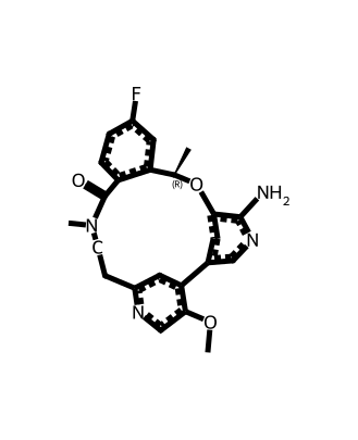 COc1cnc2cc1-c1cnc(N)c(c1)O[C@H](C)c1cc(F)ccc1C(=O)N(C)CC2